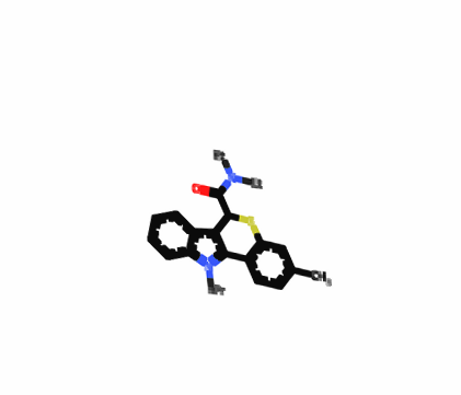 CCCn1c2c(c3ccccc31)C(C(=O)N(CC)CC)Sc1cc(C)ccc1-2